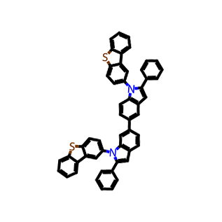 c1ccc(-c2cc3cc(-c4ccc5cc(-c6ccccc6)n(-c6ccc7sc8ccccc8c7c6)c5c4)ccc3n2-c2ccc3sc4ccccc4c3c2)cc1